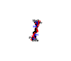 COC[C@H]1CC(c2ncc(-c3ccc4c(c3)COc3cc5c(ccc6nc(C7CC[C@H](C)N7C(=O)[C@@H](NC(=O)OC)C(C)C)[nH]c65)cc3-4)[nH]2)N(C(=O)[C@@H](NC(=O)OC)C(C)C)C1